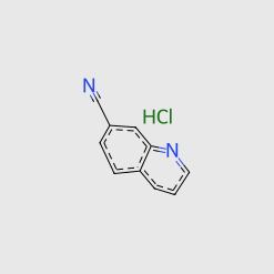 Cl.N#Cc1ccc2cccnc2c1